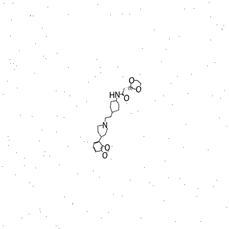 O=C(C[C@H]1COCCO1)NC1CCC(CCN2CCC(c3cccc4c3OCO4)CC2)CC1